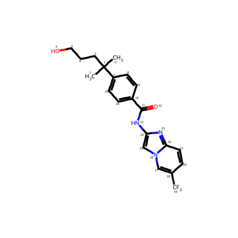 CC(C)(CCCO)c1ccc(C(=O)Nc2cn3cc(C(F)(F)F)ccc3n2)cc1